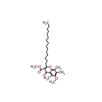 CCCCCCCCCCCCCCCc1oc2c(C)c(C)c(OC)c(C)c2c(=O)c1C(=O)OC